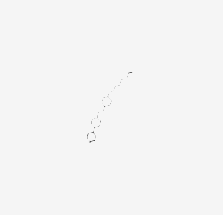 FC=CCCCCCCC1CCC(CCC2CCC(c3ccc(F)cc3)CC2)CC1